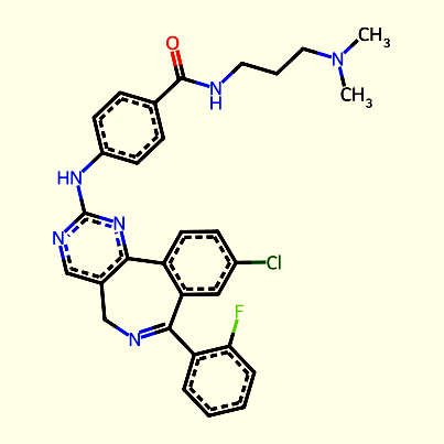 CN(C)CCCNC(=O)c1ccc(Nc2ncc3c(n2)-c2ccc(Cl)cc2C(c2ccccc2F)=NC3)cc1